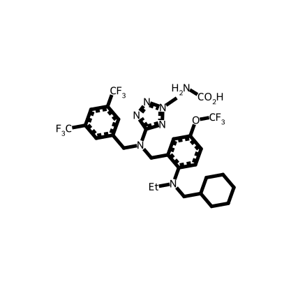 CCN(CC1CCCCC1)c1ccc(OC(F)(F)F)cc1CN(Cc1cc(C(F)(F)F)cc(C(F)(F)F)c1)c1nnn(C)n1.NC(=O)O